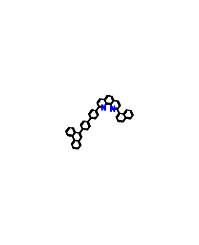 c1ccc2c(-c3ccc4ccc5ccc(-c6ccc(-c7ccc(-c8cc9ccccc9c9ccccc89)cc7)cc6)nc5c4n3)cccc2c1